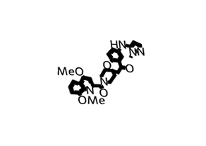 COc1cc(C(=O)N2CCC3(CC2)CC(=O)c2cc(Nc4ccnn4C)ccc2O3)nc2c(OC)cccc12